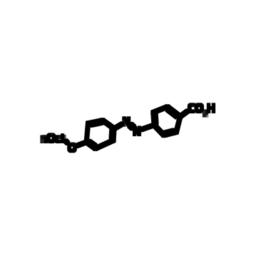 CCCCCCCCOc1ccc(N=Nc2ccc(C(=O)O)cc2)cc1